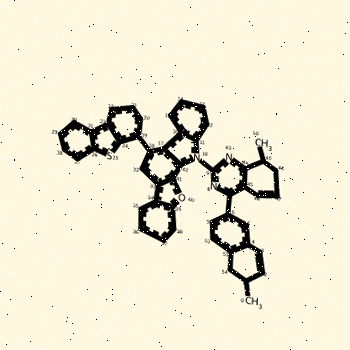 CC1C=Cc2cc(-c3nc(-n4c5ccccc5c5c(-c6cccc7c6sc6ccccc67)cc6c7ccccc7oc6c54)nc4c3C=CCC4C)ccc2C1